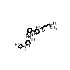 CN(C)CC=CC(=O)Nc1ccnc(-c2cccc3cnc(Nc4ccc(NC5CCNC5)nc4)nc23)c1